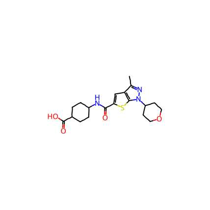 Cc1nn(C2CCOCC2)c2sc(C(=O)NC3CCC(C(=O)O)CC3)cc12